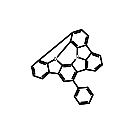 c1ccc(-c2cc3c4c5c2c2cccc6c7ccc8c(c7n5c62)B4c2c-8cccc2-3)cc1